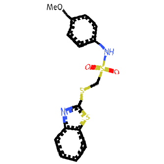 COc1ccc(NS(=O)(=O)CSc2nc3ccccc3s2)cc1